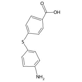 Nc1ccc(Sc2ccc(C(=O)O)cc2)cc1